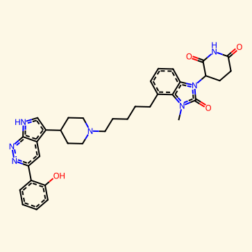 Cn1c(=O)n(C2CCC(=O)NC2=O)c2cccc(CCCCCN3CCC(c4c[nH]c5nnc(-c6ccccc6O)cc45)CC3)c21